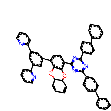 C1=CC2Oc3c(-c4cc(-c5ccccn5)cc(-c5ccccn5)c4)ccc(-c4nc(-c5ccc(-c6ccccc6)cc5)nc(-c5ccc(-c6ccccc6)cc5)n4)c3OC2C=C1